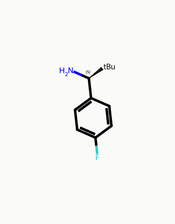 CC(C)(C)[C@H](N)c1ccc(F)cc1